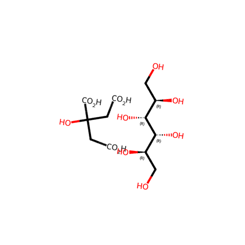 O=C(O)CC(O)(CC(=O)O)C(=O)O.OC[C@@H](O)[C@@H](O)[C@H](O)[C@H](O)CO